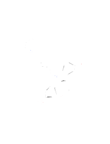 COc1ccc2c(c1)OCCc1c-2n(CCCCCN2CCCC2)c2ccc(OC)cc12